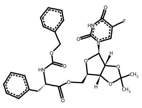 CC1(C)O[C@@H]2[C@H](O1)[C@@H](COC(=O)[C@H](Cc1ccccc1)NC(=O)OCc1ccccc1)O[C@H]2n1cc(F)c(=O)[nH]c1=O